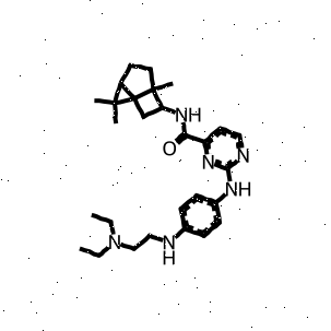 CCN(CC)CCNc1ccc(Nc2nccc(C(=O)NC3CC45C(CCC34C)C5(C)C)n2)cc1